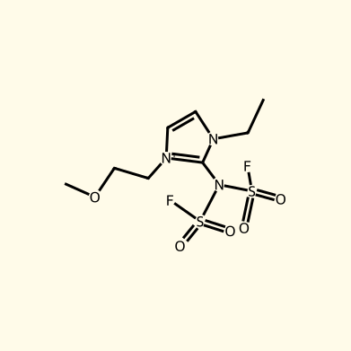 CCn1cc[n+](CCOC)c1N(S(=O)(=O)F)S(=O)(=O)F